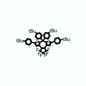 CC(C)(C)c1ccc(-c2cc3c(s2)C(c2ccc(C(C)(C)C)cc2)(c2ccc(C(C)(C)C)cc2)c2sc(-c4ccc(C(C)(C)C)cc4)cc2C2=C3C(F)(F)C(F)(F)C2(F)F)cc1